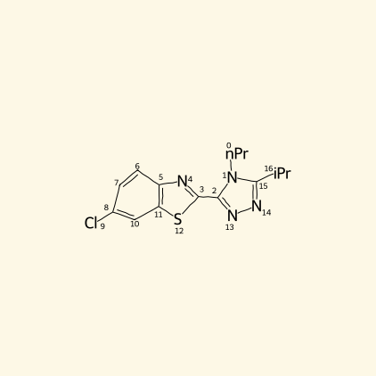 CCCn1c(-c2nc3ccc(Cl)cc3s2)nnc1C(C)C